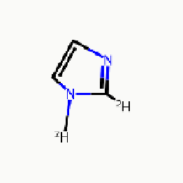 [2H]c1nccn1[2H]